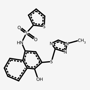 Cn1cnc(Sc2cc(NS(=O)(=O)c3cccs3)c3ccccc3c2O)n1